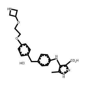 Cc1[nH]nc(C(=O)O)c1Nc1ccc(Cc2ccc(OCCOC3CNC3)cc2)cc1.Cl